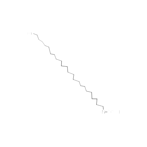 CC(C)CCCCCCCCCCCCCCCCCCCCCCCNC(=O)O